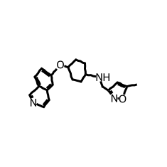 Cc1cc(CNC2CCC(Oc3ccc4cnccc4c3)CC2)no1